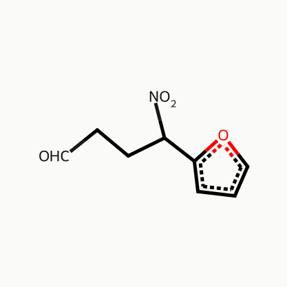 O=CCCC(c1ccco1)[N+](=O)[O-]